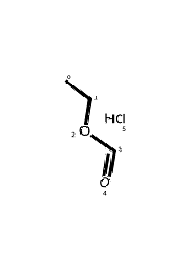 CCOC=O.Cl